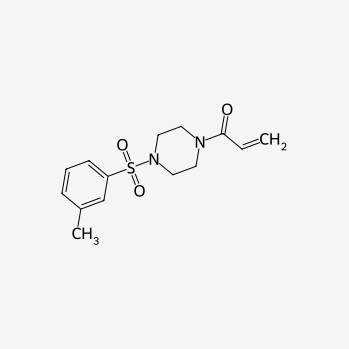 C=CC(=O)N1CCN(S(=O)(=O)c2cccc(C)c2)CC1